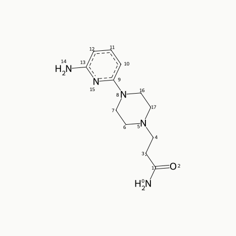 NC(=O)[CH]CN1CCN(c2cccc(N)n2)CC1